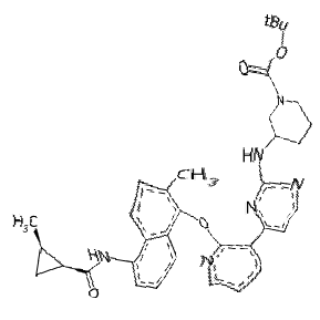 Cc1ccc2c(NC(=O)[C@H]3C[C@H]3C)cccc2c1Oc1ncccc1-c1ccnc(NC2CCCN(C(=O)OC(C)(C)C)C2)n1